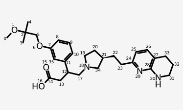 COC(C)(C)COc1cccc(C(CC(=O)O)CN2CC[C@@H](CCc3ccc4c(n3)NCCC4)C2)c1